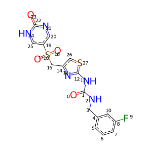 O=C(NCc1cccc(F)c1)Nc1nc(CS(=O)(=O)c2cnc(=O)[nH]c2)cs1